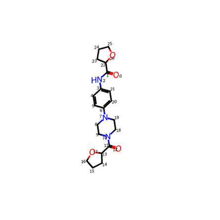 O=C(Nc1ccc(N2CCN(C(=O)C3CCCO3)CC2)cc1)C1CCCO1